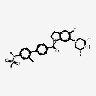 Cc1cc(N(C)S(C)(=O)=O)ccc1-c1ccc(C(=O)N2CCc3cc(F)c(N4C[C@@H](C)N[C@@H](C)C4)cc32)cc1